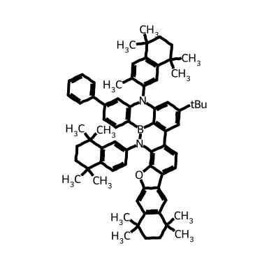 Cc1cc2c(cc1N1c3cc(-c4ccccc4)ccc3B3c4c(cc(C(C)(C)C)cc41)-c1ccc4c(oc5cc6c(cc54)C(C)(C)CCC6(C)C)c1N3c1ccc3c(c1)C(C)(C)CCC3(C)C)C(C)(C)CCC2(C)C